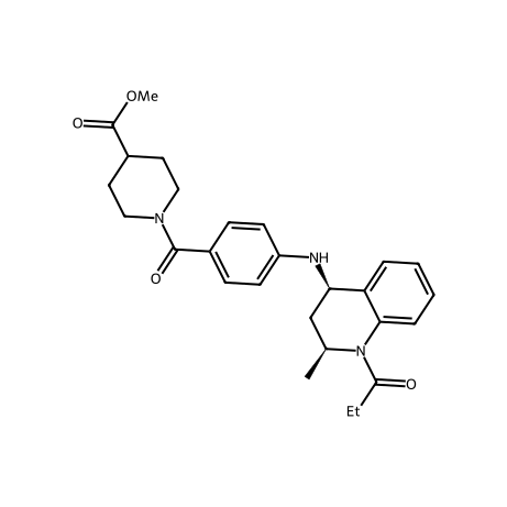 CCC(=O)N1c2ccccc2[C@H](Nc2ccc(C(=O)N3CCC(C(=O)OC)CC3)cc2)C[C@@H]1C